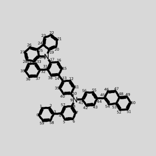 c1ccc(-c2cccc(N(c3ccc(-c4ccc(-n5c6ccccc6c6ccccc65)c(-c5ccccc5)c4)cc3)c3ccc(-c4ccc5ccccc5c4)cc3)c2)cc1